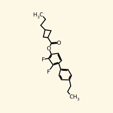 CCCc1ccc(-c2ccc(OC(=O)C3CC(CCC)C3)c(F)c2F)cc1